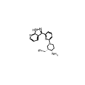 CC(C)C[C@@H]1CN(c2cccc(-c3n[nH]c4ncccc34)n2)CC[C@@H]1N